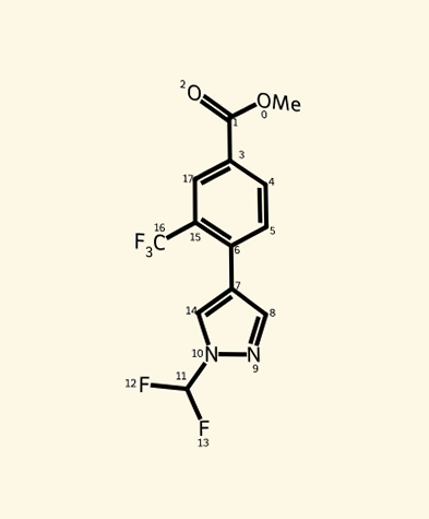 COC(=O)c1ccc(-c2cnn(C(F)F)c2)c(C(F)(F)F)c1